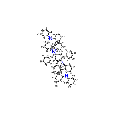 Cc1cccc(N(c2ccccc2)c2cccc3c2c2cccc4c5c(-c6ccccc6)c6c(c(-c7ccccc7)c5n3c24)c2cccc3c4c(N(c5ccccc5)c5cccc(C)c5)cccc4n6c32)c1